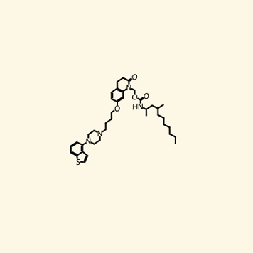 CCCCCCCC(C)CC(C)NC(=O)OCN1C(=O)CCc2ccc(OCCCCN3CCN(c4cccc5sccc45)CC3)cc21